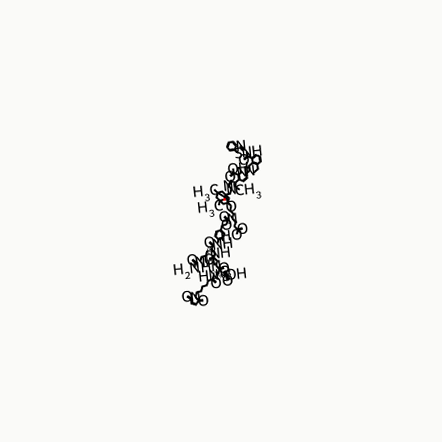 Cc1c(-c2ccc(N3CCc4cccc(C(=O)Nc5nc6ccccc6s5)c4C3)nc2C(=O)O)cnn1CC12CC3(C)CC(C)(C1)CC(OCCN(CCC(=O)O)C(=O)OCc1ccc(NC(=O)[C@H](CCCNC(N)=O)NC(=O)CNC(=O)[C@H](CS(=O)(=O)O)NC(=O)CCCCCN4C(=O)C=CC4=O)cc1)(C3)C2